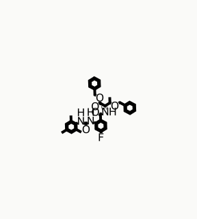 Cc1cc(C)c(NC(=O)Nc2cc(F)ccc2C(=O)N[C@H](C(=O)OCc2ccccc2)C(C)OCc2ccccc2)c(C)c1